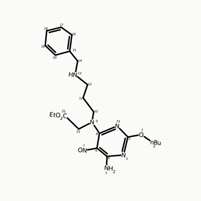 CCCCOc1nc(N)c(N=O)c(N(CCCNCc2ccccc2)CC(=O)OCC)n1